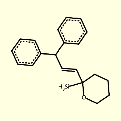 [SiH3]C1(C=CC(c2ccccc2)c2ccccc2)CCCCO1